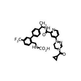 C[C@@H](NC(=O)c1cc(N2CCN(C(=O)C3CC3)C=N2)ccn1)c1ccc(-c2cc(C(F)(F)F)ccc2CNC(=O)O)cc1